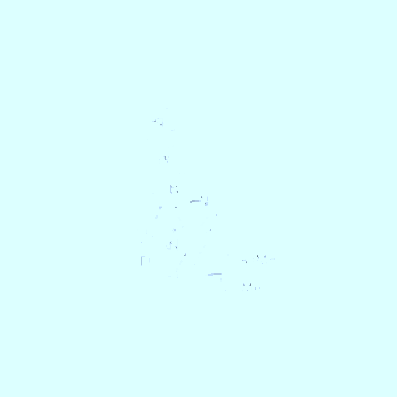 CC[C@H](C(=O)O)n1c(=O)c2cc(OC)c(OC)cc2c2cnc3c(ccn3COCC[Si](C)(C)C)c21